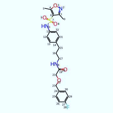 Cc1noc(C)c1S(=O)(=O)Nc1ccc(CCCNC(=O)COCc2ccc(F)cc2)cc1